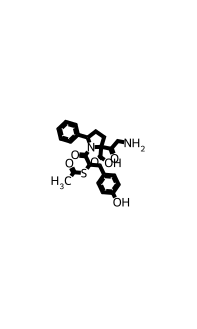 CC(=O)SC(Cc1ccc(O)cc1)C(=O)N1C(c2ccccc2)CCC1(C(=O)O)C(=O)CN